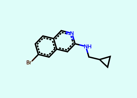 Brc1ccc2cnc(NCC3CC3)cc2c1